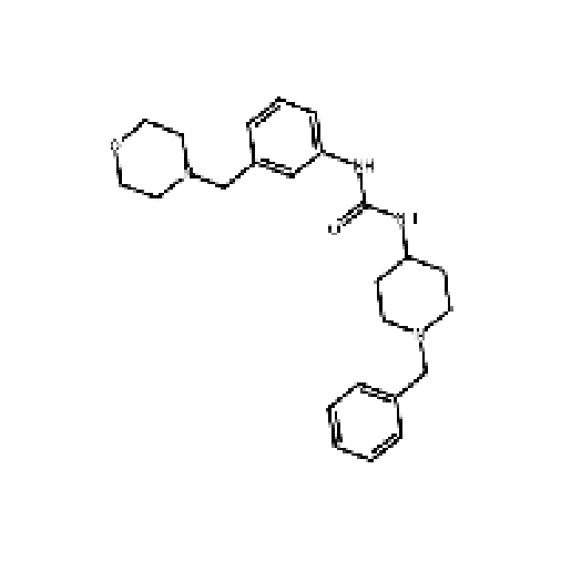 O=C(Nc1cccc(CN2CCOCC2)c1)NC1CCN(Cc2ccccc2)CC1